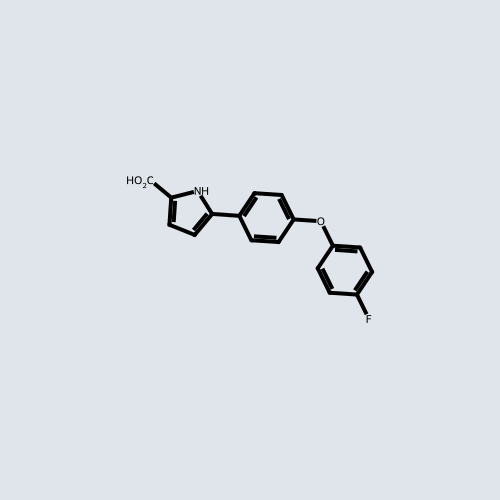 O=C(O)c1ccc(-c2ccc(Oc3ccc(F)cc3)cc2)[nH]1